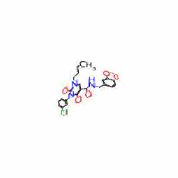 CCCCn1cc(C(=O)NCc2ccc3c(c2)OCO3)c(=O)n(-c2cccc(Cl)c2)c1=O